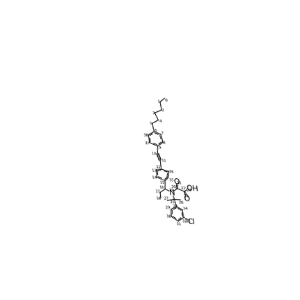 CCCCCCc1ccc(C#Cc2ccc(C(CC)N(C(=O)C(=O)O)C(C)(C)c3cccc(Cl)c3)cc2)cc1